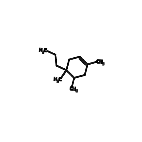 CCCC1(C)CC=C(C)CC1C